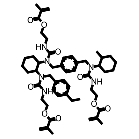 C=C(C)C(=O)OCCNC(=O)N(Cc1ccc(CN(C(=O)NCCOC(=O)C(=C)C)C2CCCCC2N(Cc2ccc(CC)cc2)C(=O)NCCOC(=O)C(=C)C)cc1)C1CCCCC1C